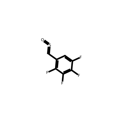 O=S=[C]c1cc(F)c(F)c(F)c1F